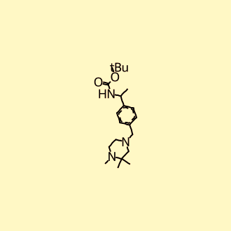 CC(NC(=O)OC(C)(C)C)c1ccc(CN2CCN(C)C(C)(C)C2)cc1